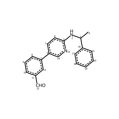 CC(Nc1ccc(-c2cccc(C=O)c2)cn1)c1ccccc1